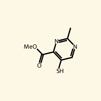 COC(=O)c1nc(C)ncc1S